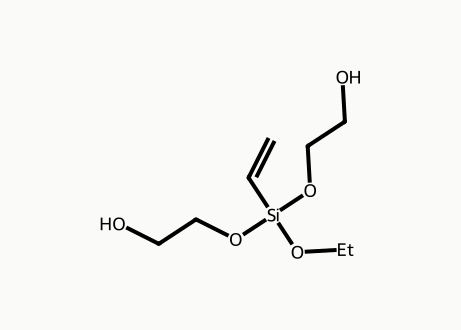 C=C[Si](OCC)(OCCO)OCCO